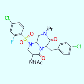 CC(=O)NC1CN(S(=O)(=O)c2ccc(Cl)cc2F)C2CN(C(C)C)C(=O)C(Cc3ccc(Cl)cc3)N2C1=O